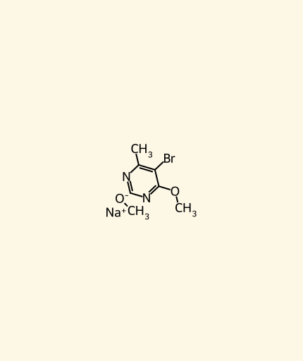 COc1ncnc(C)c1Br.C[O-].[Na+]